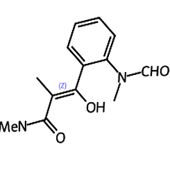 CNC(=O)/C(C)=C(\O)c1ccccc1N(C)C=O